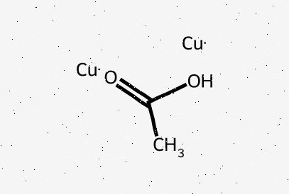 CC(=O)O.[Cu].[Cu]